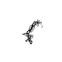 CCCOc1ccc(S(=O)(=O)N2CCN(CC(N)=O)CC2)cc1-c1nc2c(CCC)n(Cc3ccccn3)nc2c(=O)[nH]1